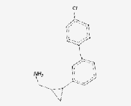 NCC1CC1c1cccc(-c2ccc(Cl)cc2)c1